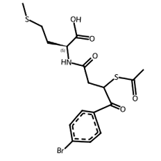 CSCC[C@H](NC(=O)CC(SC(C)=O)C(=O)c1ccc(Br)cc1)C(=O)O